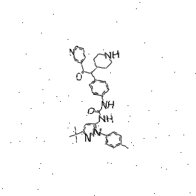 Cc1ccc(-n2nc(C(C)(C)C)cc2NC(=O)Nc2ccc(C(C(=O)c3cccnc3)C3CCNCC3)cc2)cc1